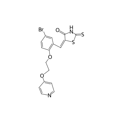 O=C1NC(=S)SC1=Cc1cc(Br)ccc1OCCOc1ccncc1